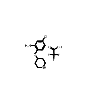 Nc1cc(Cl)ccc1OC1CCNCC1.O=C(O)C(F)(F)F